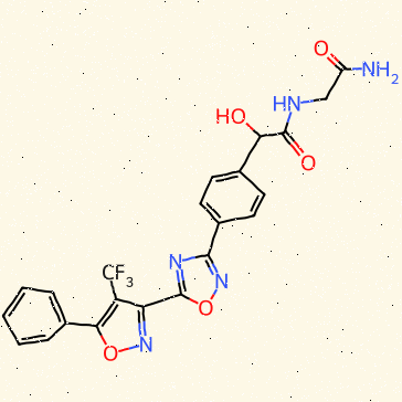 NC(=O)CNC(=O)C(O)c1ccc(-c2noc(-c3noc(-c4ccccc4)c3C(F)(F)F)n2)cc1